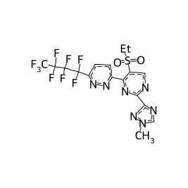 CCS(=O)(=O)c1cnc(-c2ncn(C)n2)nc1-c1ccc(C(F)(F)C(F)(F)C(F)(F)C(F)(F)F)nn1